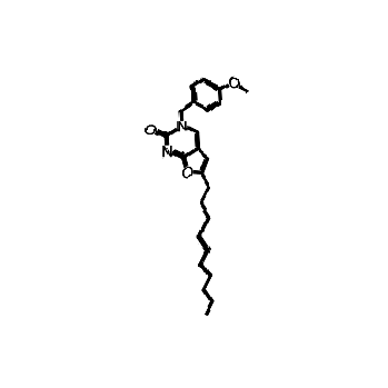 CCCCCCCCCCc1cc2cn(Cc3ccc(OC)cc3)c(=O)nc2o1